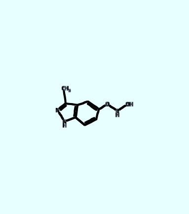 Cc1n[nH]c2ccc(OBO)cc12